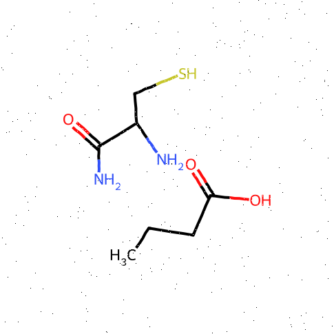 CCCC(=O)O.NC(=O)C(N)CS